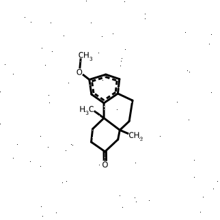 COc1ccc2c(c1)C1(C)CCC(=O)CC1(C)CC2